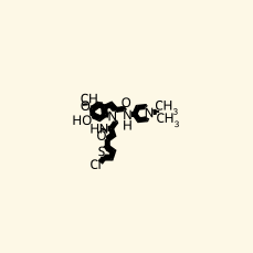 COc1cc2cc(C(=O)NC3CCN(C(C)C)CC3)n(CC3C=C(c4ccc(Cl)s4)ON3)c2cc1O